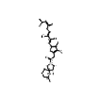 CCC(=C\C/C(C)=C\C(C)F)/C(=C/c1sc(CC(=O)N2CCC3(CCCC(C)N3)C2)c(Cl)c1C)CC